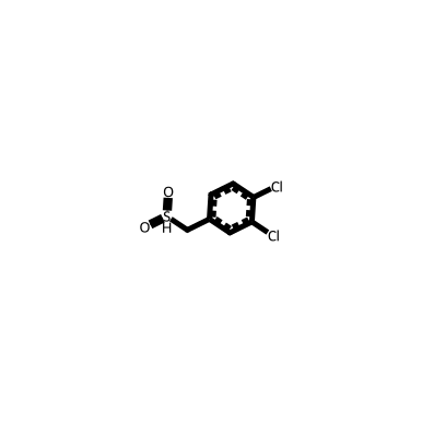 O=[SH](=O)Cc1ccc(Cl)c(Cl)c1